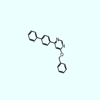 [c]1ccccc1-c1ccc(-c2cc(OCc3ccccc3)ncn2)cc1